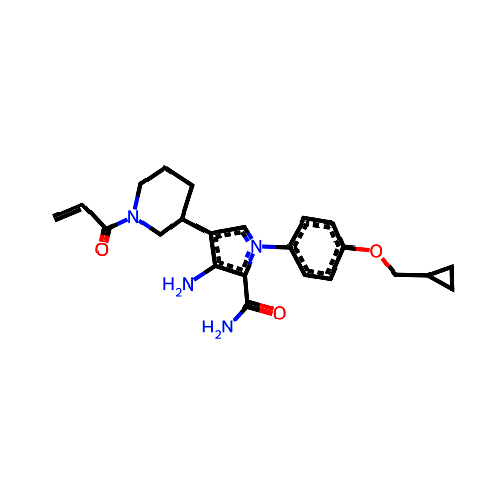 C=CC(=O)N1CCCC(c2cn(-c3ccc(OCC4CC4)cc3)c(C(N)=O)c2N)C1